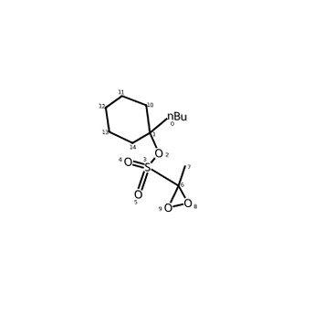 CCCCC1(OS(=O)(=O)C2(C)OO2)CCCCC1